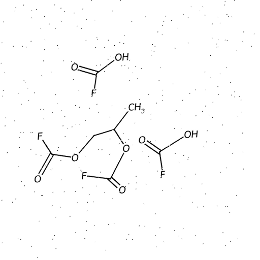 CC(COC(=O)F)OC(=O)F.O=C(O)F.O=C(O)F